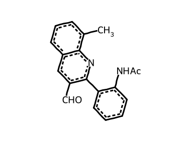 CC(=O)Nc1ccccc1-c1nc2c(C)cccc2cc1C=O